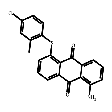 Cc1cc(Cl)ccc1Sc1cccc2c1C(=O)c1cccc(N)c1C2=O